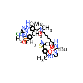 COc1cc(CCN(C)C(=O)CCCCCCCC(=O)N[C@H](C(=O)N2CCC[C@H]2C(=O)N[C@@H](C)c2ccc(-c3scnc3C)cc2)C(C)(C)C)c(C)cc1Nc1ncc(Cl)c(Nc2ccccc2P(C)(C)=O)n1